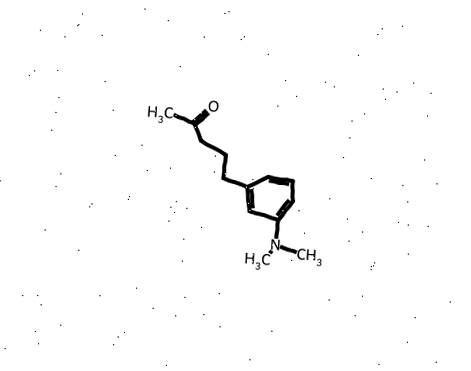 CC(=O)CCCc1cccc(N(C)C)c1